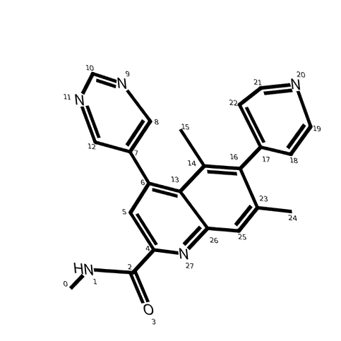 CNC(=O)c1cc(-c2cncnc2)c2c(C)c(-c3ccncc3)c(C)cc2n1